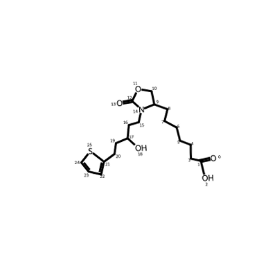 O=C(O)CCCCCCC1COC(=O)N1CCC(O)CCc1cccs1